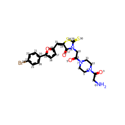 NCC(=O)N1CCN(C(=O)CN2C(=O)/C(=C\c3ccc(-c4ccc(Br)cc4)o3)SC2=S)CC1